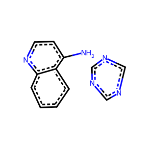 Nc1ccnc2ccccc12.c1ncncn1